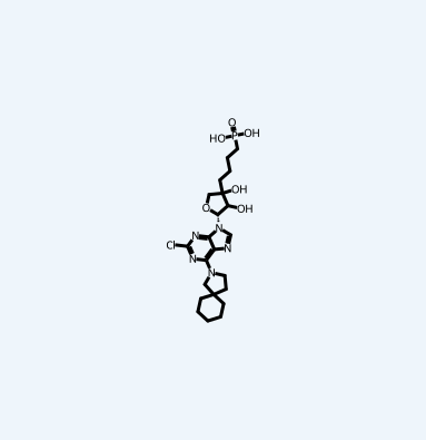 O=P(O)(O)CCCCC1(O)CO[C@@H](n2cnc3c(N4CCC5(CCCCC5)C4)nc(Cl)nc32)C1O